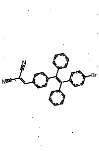 N#CC(C#N)=Cc1ccc(/C(=C(\c2ccccc2)c2ccc(Br)cc2)c2ccccc2)cc1